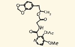 COc1ccnc(C(=O)NCC(=O)OC(C)Cc2ccc3c(c2)OCO3)c1OC(C)=O